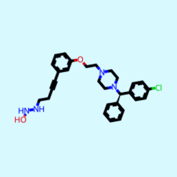 ONNCCC#Cc1cccc(OCCN2CCN([C@H](c3ccccc3)c3ccc(Cl)cc3)CC2)c1